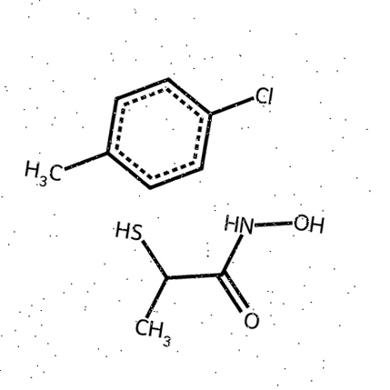 CC(S)C(=O)NO.Cc1ccc(Cl)cc1